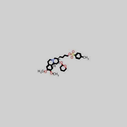 COc1cc2c(cc1OC)[C@H]1C[C@@H](OC3CCCCO3)[C@H](CCCCOS(=O)(=O)c3ccc(C)cc3)CN1CC2